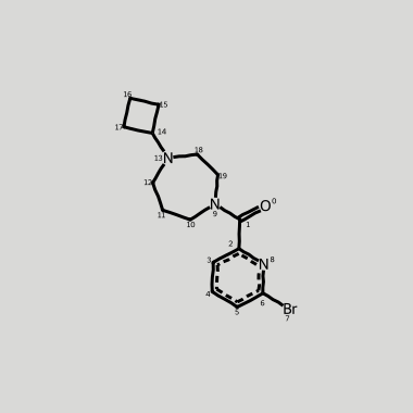 O=C(c1cccc(Br)n1)N1CCCN(C2CCC2)CC1